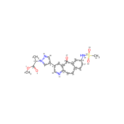 COC(=O)C(C)n1cc(-c2cnc3ccc4ccc(NS(C)(=O)=O)cc4c(=O)c3c2)cn1